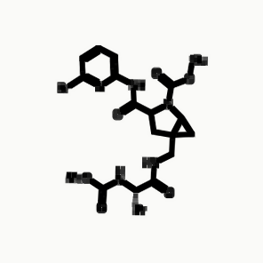 COC(=O)N[C@H](C(=O)NCC12CC(C(=O)Nc3cccc(Br)n3)N(C(=O)OC(C)(C)C)C1C2)C(C)C